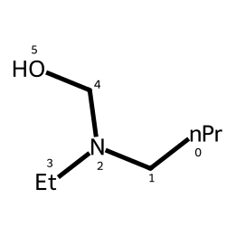 CCCCN(CC)CO